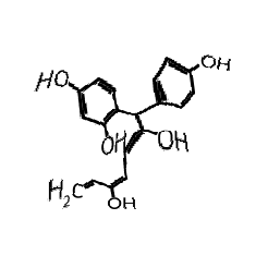 C=C/C(O)=C\C=C(/O)C(c1ccc(O)cc1)c1ccc(O)cc1O